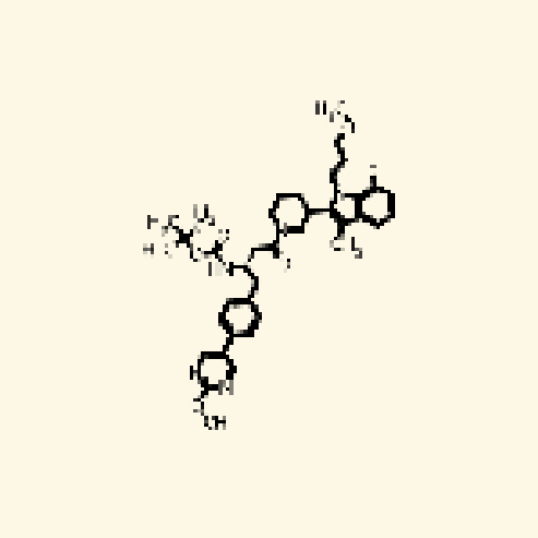 COCCCn1c(C2CCCN(C(=O)C[C@@H](Cc3ccc(-c4cnc(OC)nc4)cc3)NC(=O)OC(C)(C)C)C2)c(C)c2cccc(F)c21